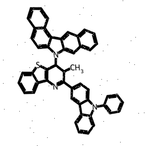 CC1C(c2ccc3c(c2)c2ccccc2n3-c2ccccc2)=Nc2c(sc3ccccc23)C1n1c2cc3ccccc3cc2c2c3ccccc3ccc21